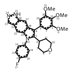 COc1cc(-c2c(C3CCOCC3)n(-c3ccc(F)cc3)c3cc4cn[nH]c4cc23)cc(OC)c1OC